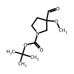 COC1(C=O)CCN(C(=O)OC(C)(C)C)C1